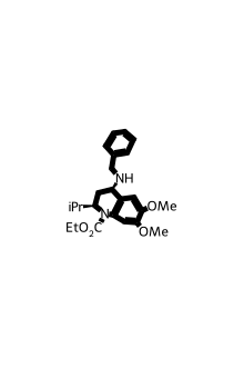 CCOC(=O)N1c2cc(OC)c(OC)cc2[C@H](NCc2ccccc2)C[C@@H]1C(C)C